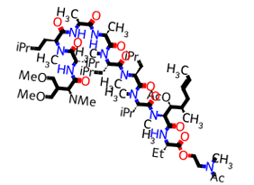 C/C=C/C[C@@H](C)[C@@H](OC(C)=O)[C@@H](C(=O)N[C@@H](CC)C(=O)OCCN(C)C(C)=O)N(C)C(=O)[C@H](C(C)C)N(C)C(=O)[C@H](CC(C)C)N(C)C(=O)[C@H](CC(C)C)N(C)C(=O)[C@@H](C)NC(=O)[C@H](C)NC(=O)[C@H](CCC(C)C)N(C)C(=O)[C@@H](NC(=O)[C@@H](NC)C(COC)COC)C(C)C